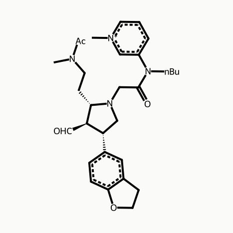 CCCCN(C(=O)CN1C[C@H](c2ccc3c(c2)CCO3)[C@@H](C=O)[C@@H]1CCN(C)C(C)=O)c1ccc[n+](C)c1